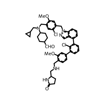 COc1cc(-c2cccc(-c3cccc4c3cnn4Cc3cc(OC)c(CN(CC4CC4)C4CCC(C=O)CC4)cc3Cl)c2Cl)ccc1CNCC1CCC(=O)N1